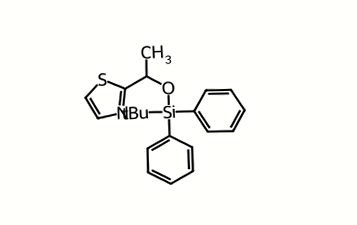 CC(O[Si](c1ccccc1)(c1ccccc1)C(C)(C)C)c1nccs1